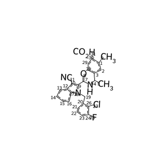 Cc1cc(C(C)NC(=O)c2c(C#N)c3ccccc3n2Cc2cccc(F)c2Cl)ccc1C(=O)O